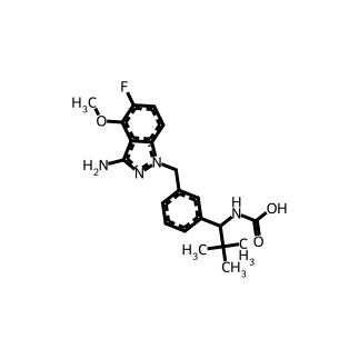 COc1c(F)ccc2c1c(N)nn2Cc1cccc(C(NC(=O)O)C(C)(C)C)c1